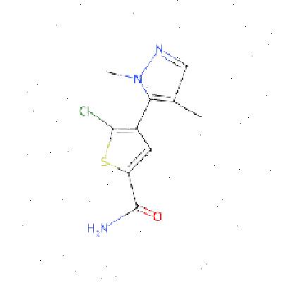 Cc1cnn(C)c1-c1cc(C(N)=O)sc1Cl